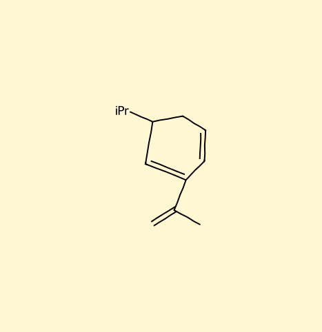 C=C(C)C1=CC(C(C)C)CC=C1